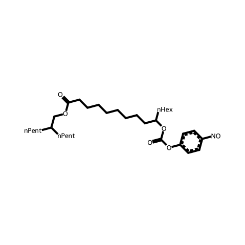 CCCCCCC(CCCCCCCCC(=O)OCC(CCCCC)CCCCC)OC(=O)Oc1ccc(N=O)cc1